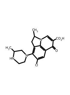 CC1CN(c2c(Cl)cc3c(=O)c(C(=O)O)cn4c3c2CC4C)CCN1